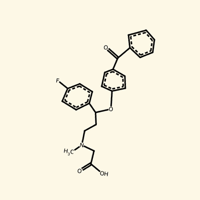 CN(CCC(Oc1ccc(C(=O)c2ccccc2)cc1)c1ccc(F)cc1)CC(=O)O